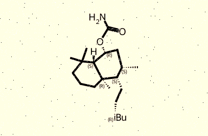 CC[C@@H](C)CC[C@H]1[C@@H](C)C[C@@H](OC(N)=O)[C@H]2C(C)(C)CCC[C@]12C